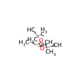 C#CC(C)(C)O[SiH](C=CC)OC(C)(C)C#C